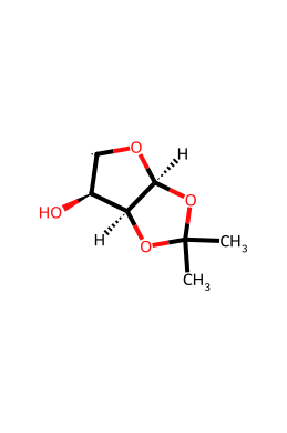 CC1(C)O[C@@H]2O[CH][C@H](O)[C@@H]2O1